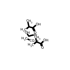 CC(=O)O.CC(C)C(=O)O.CC(C)C(=O)O.CC(C)CO